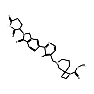 CC(C)(C)OC(=O)N1CCC12CCCN(Cc1ccnc(-c3ccc4c(c3)CN(C3CCC(=O)NC3=O)C4=O)c1F)C2